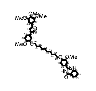 COc1cc(C2NC(=O)c3ccccc3N2)ccc1OCCCCCCCCCCOc1cc(-c2cc(-c3cc(OC)c(OC)c(OC)c3)on2)ccc1OC